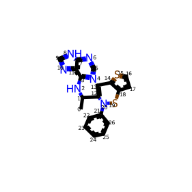 CC(Nc1ncnc2[nH]cnc12)C1=Cc2sccc2SN1c1ccccc1